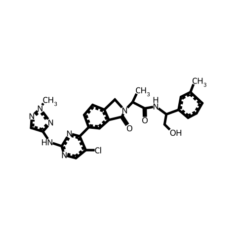 Cc1cccc(C(CO)NC(=O)C(C)N2Cc3ccc(-c4nc(Nc5cnn(C)n5)ncc4Cl)cc3C2=O)c1